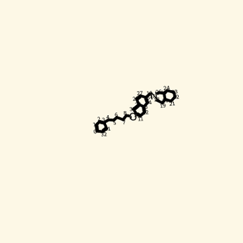 c1ccc(CCCCCOc2ccc3cc(CN4CCC5CCCCC5C4)ccc3c2)cc1